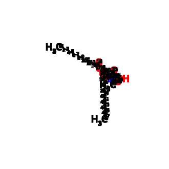 CCCCCCCCCCCCCCCC(=O)OC[C@H](CNC(=O)[C@@H](CO)NC(C)=O)OC(=O)CCCCCCCCCCCCCCC